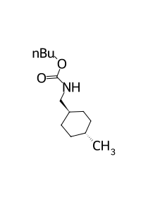 CCCCOC(=O)NC[C@H]1CC[C@H](C)CC1